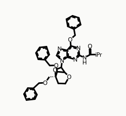 CC(C)C(=O)Nc1nc(OCc2ccccc2)c2ncn(C3O[C@]4(COCc5ccccc5)CCOC3C4OCc3ccccc3)c2n1